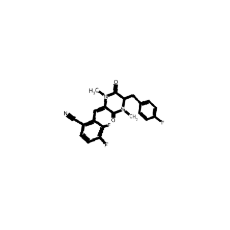 CN1C(=O)C(Cc2ccc(F)cc2)N(C)C(=O)/C1=C\c1c(C#N)ccc(F)c1F